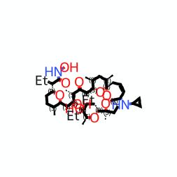 CCC(C(=O)NO)[C@H]1CC[C@H](C)C([C@@H](C)[C@H](O)[C@H](C)C(=O)[C@H](CC)[C@H]2O[C@]3(CC=CC(NC4CC4)[C@]4(CC[C@@](C)([C@H]5CC[C@](O)(CC)[C@H](C)O5)O4)O3)[C@H](C)C[C@@H]2C)O1